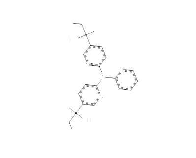 CCC(C)(C)c1ccc(N(c2ccccn2)c2ccc(C(C)(C)CC)cn2)nc1